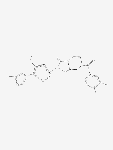 COc1cc(N2CC3CN(C(=O)c4ccc(F)c(F)c4)CCN3C2=O)ccc1-n1cnc(C)c1